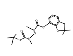 CN(SN(C)C(=O)OC(C)(C)C)C(=O)Oc1cccc2c1OC(C)(C)C2